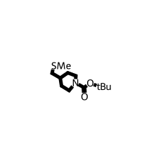 CSCC1CCN(C(=O)OC(C)(C)C)CC1